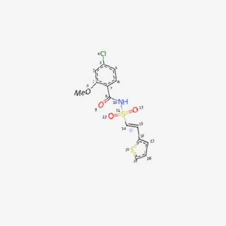 COc1cc(Cl)ccc1C(=O)NS(=O)(=O)/C=C/c1cccs1